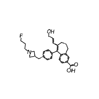 O=C(O)c1ccc2c(c1)CCCC(/C=C/CO)=C2c1ccc(CC2CN(CCCF)C2)cc1